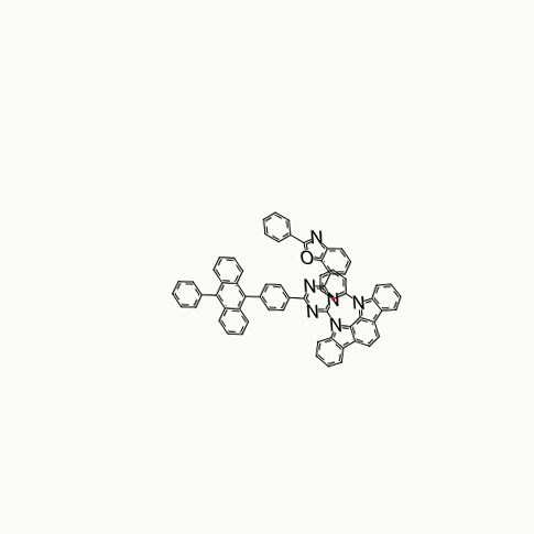 c1ccc(-c2nc3cccc(-c4nc(-c5ccc(-c6c7ccccc7c(-c7ccccc7)c7ccccc67)cc5)nc(-n5c6ccccc6c6ccc7c8ccccc8n(-c8ccccc8)c7c65)n4)c3o2)cc1